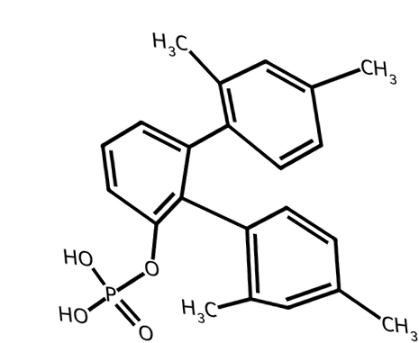 Cc1ccc(-c2cccc(OP(=O)(O)O)c2-c2ccc(C)cc2C)c(C)c1